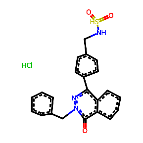 Cl.O=c1c2ccccc2c(-c2ccc(CN[SH](=O)=O)cc2)nn1Cc1ccccc1